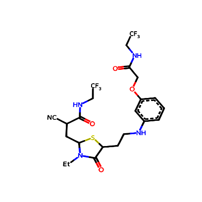 CCN1C(=O)C(CCNc2cccc(OCC(=O)NCC(F)(F)F)c2)SC1CC(C#N)C(=O)NCC(F)(F)F